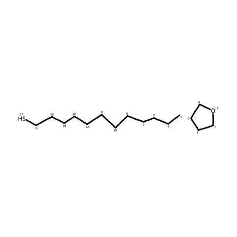 C1CCOC1.CCCCCCCCCCCCS